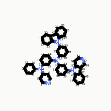 c1ccc(N(c2ccncc2)c2cccc(N(c3cccc(-n4c5ccccc5c5ccccc54)c3)c3cccc(-n4c5ccccc5c5cnccc54)c3)c2)cc1